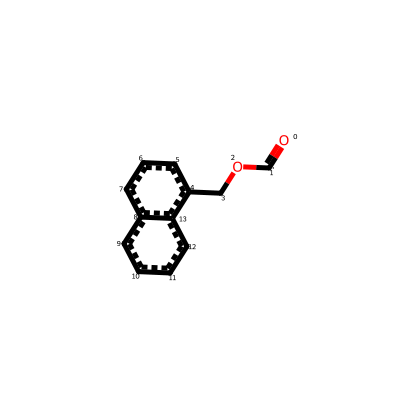 O=[C]OCc1cccc2ccccc12